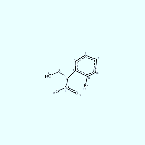 O=[N+]([O-])[C@H](CO)c1ccccc1Br